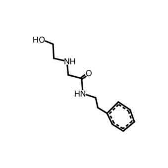 O=C(CNCCO)NCCc1ccccc1